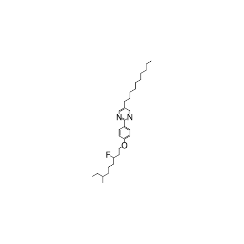 CCCCCCCCCCc1cnc(-c2ccc(OCCC(F)CCCC(C)CC)cc2)nc1